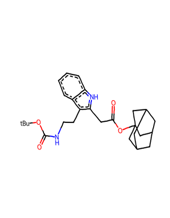 CC(C)(C)OC(=O)NCCc1c(CC(=O)OC23CC4CC(CC(C4)C2)C3)[nH]c2ccccc12